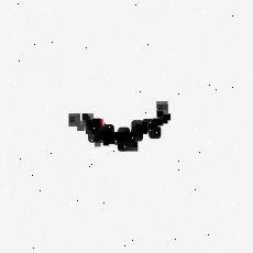 CNCCC(=O)OCC(=O)OCOP(=O)(O)OC[C@H]1O[C@@H](n2ccc(N)nc2=O)[C@H](F)C1(C)C